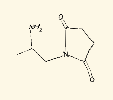 CC(N)CN1C(=O)CCC1=O